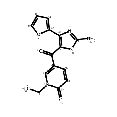 CCn1cc(C(=O)c2sc(N)nc2-c2ccco2)ccc1=O